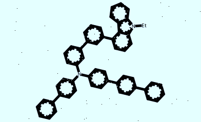 CCn1c2ccccc2c2c(-c3cccc(-c4cccc(N(c5ccc(-c6ccccc6)cc5)c5ccc(-c6ccc(-c7ccccc7)cc6)cc5)c4)c3)cccc21